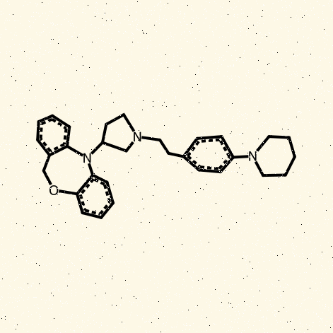 c1ccc2c(c1)COc1ccccc1N2C1CCN(CCc2ccc(N3CCCCC3)cc2)C1